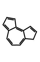 C1=Cc2c(cccc3cccc2-3)C1